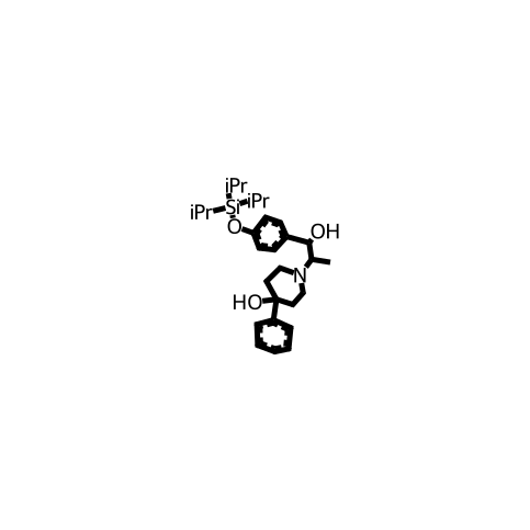 CC(C(O)c1ccc(O[Si](C(C)C)(C(C)C)C(C)C)cc1)N1CCC(O)(c2ccccc2)CC1